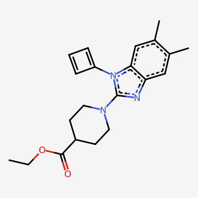 CCOC(=O)C1CCN(c2nc3cc(C)c(C)cc3n2C2=CC=C2)CC1